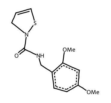 COc1ccc(CNC(=O)N2CC=CS2)c(OC)c1